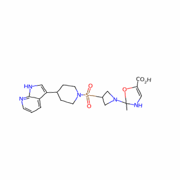 CC1(N2CC(S(=O)(=O)N3CCC(c4c[nH]c5ncccc45)CC3)C2)NC=C(C(=O)O)O1